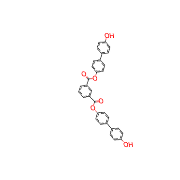 O=C(Oc1ccc(-c2ccc(O)cc2)cc1)c1cccc(C(=O)Oc2ccc(-c3ccc(O)cc3)cc2)c1